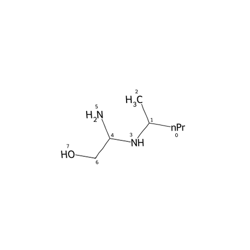 CCCC(C)NC(N)CO